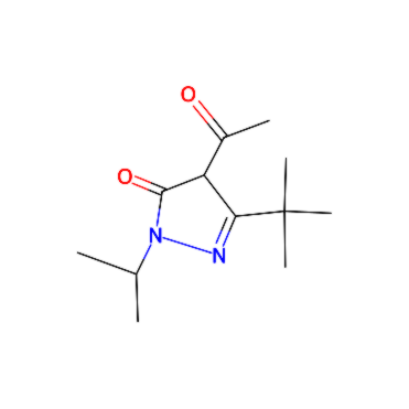 CC(=O)C1C(=O)N(C(C)C)N=C1C(C)(C)C